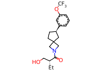 CC[C@H](CO)C(=O)N1CC2(CC[C@@H](c3cccc(OC(F)(F)F)c3)C2)C1